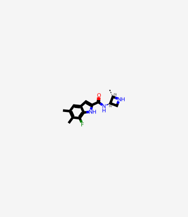 Cc1cc2cc(C(=O)N[C@H]3CN[C@H]3C)[nH]c2c(F)c1C